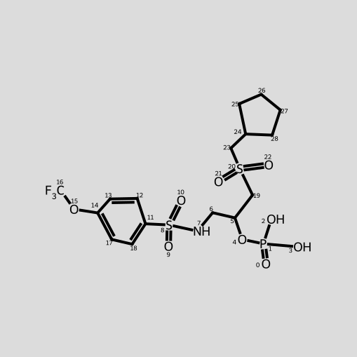 O=P(O)(O)OC(CNS(=O)(=O)c1ccc(OC(F)(F)F)cc1)CS(=O)(=O)CC1CCCC1